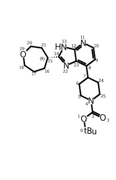 CC(C)(C)OC(=O)N1CCC(c2ccnc3[nH]c([C@@H]4CCCOCC4)nc23)CC1